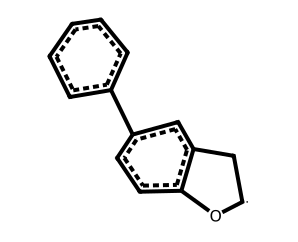 [CH]1Cc2cc(-c3ccccc3)ccc2O1